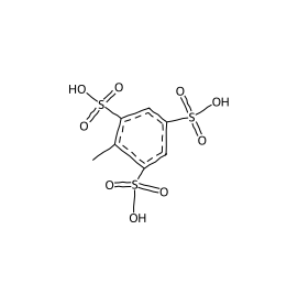 Cc1c(S(=O)(=O)O)cc(S(=O)(=O)O)cc1S(=O)(=O)O